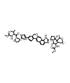 COC(=O)N[C@H](C(=O)N1[C@@H](C)CC[C@H]1c1ncc(-c2ccc3c(c2)COc2cc4c(ccc5nc([C@@H]6CC[C@H]7N6C(=O)[C@@H](NC(=O)OC)C6C[C@@H](C)O[C@H](C)C67C)[nH]c54)cc2-3)[nH]1)C(C)C